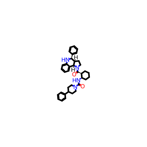 O=C(N[C@@H]1CCCC[C@@H]1C(=O)N1CC[C@@H]2[C@H](c3ccccc3)Nc3ccccc3[C@@H]21)N1CCC(c2ccccc2)CC1